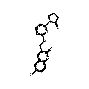 O=C1CCCN1c1ccnc(NCc2cc3cc(Cl)ccc3[nH]c2=O)n1